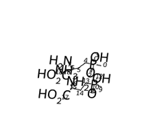 CP(=O)(O)CCC(N)C(=O)O.CP(=O)(O)CCC(N)C(=O)O.N